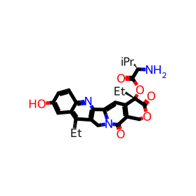 CCc1c2c(nc3ccc(O)cc13)-c1cc3c(c(=O)n1C2)COC(=O)[C@@]3(CC)OC(=O)[C@@H](N)C(C)C